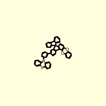 c1cc(-c2ccc3c(c2)C2(c4ccccc4-c4ccccc42)c2ccc4c(c2-3)Oc2ccccc2O4)cc(N2c3ccccc3Sc3ccccc32)c1